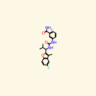 Cc1c(C(NC(=O)Nc2cccc(C(N)=O)c2)C(C)C)oc2ccc(F)cc12